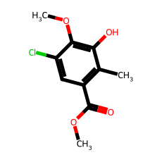 COC(=O)c1cc(Cl)c(OC)c(O)c1C